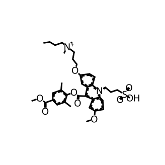 CCCC[N+](C)(C)CCCOc1ccc2c(c1)c(C(=O)Oc1c(C)cc(C(=O)OC)cc1C)c1cc(OC)ccc1[n+]2CCCS(=O)(=O)O